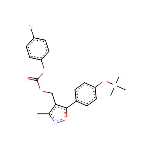 Cc1noc(-c2ccc(O[Si](C)(C)C(C)(C)C)cc2)c1COC(=O)Oc1ccc([N+](=O)[O-])cc1